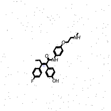 CC/C(=C(\C(=O)Nc1ccc(OCCNC)cc1)c1ccc(O)cc1)c1ccc(F)cc1